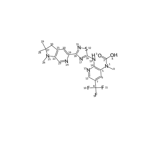 CN(C(=O)O)c1cc(C(F)(F)F)cnc1Nc1nc(-c2cc3c(cn2)N(C)C(C)(C)C3)ns1